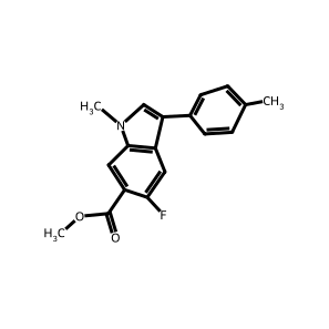 COC(=O)c1cc2c(cc1F)c(-c1ccc(C)cc1)cn2C